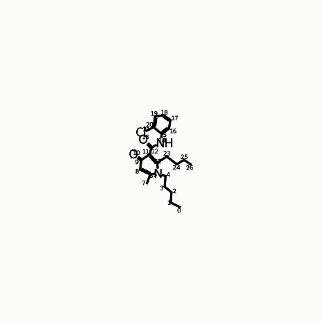 CCCCCn1c(C)cc(=O)c(C(=O)Nc2ccccc2Cl)c1CCCC